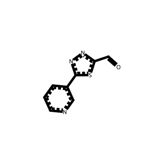 O=Cc1nnc(-c2cccnc2)s1